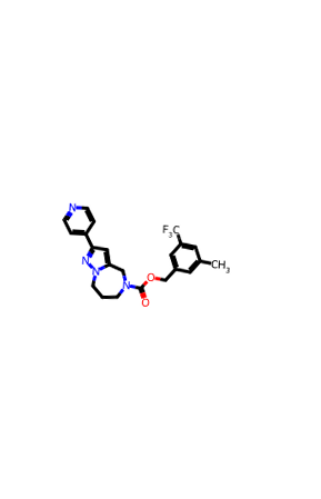 Cc1cc(COC(=O)N2CCCn3nc(-c4ccncc4)cc3C2)cc(C(F)(F)F)c1